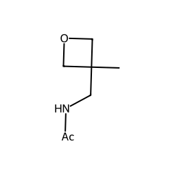 CC(=O)NCC1(C)COC1